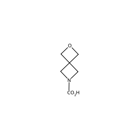 O=C(O)N1CC2(COC2)C1